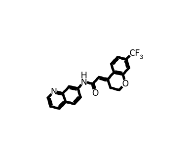 O=C(C=C1CCOc2cc(C(F)(F)F)ccc21)Nc1ccc2cccnc2c1